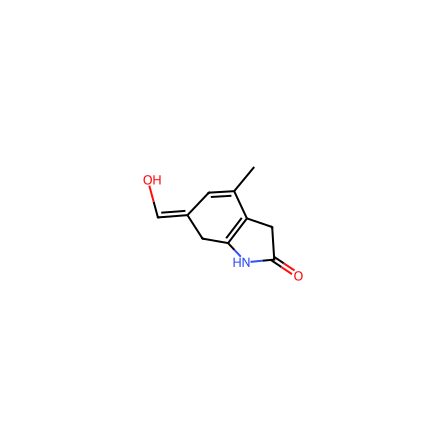 CC1=CC(=CO)CC2=C1CC(=O)N2